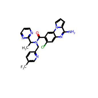 CC(c1ncccn1)N(Cc1ccc(C(F)(F)F)cn1)C(=O)c1cc2c(cc1Cl)nc(N)c1cccn12